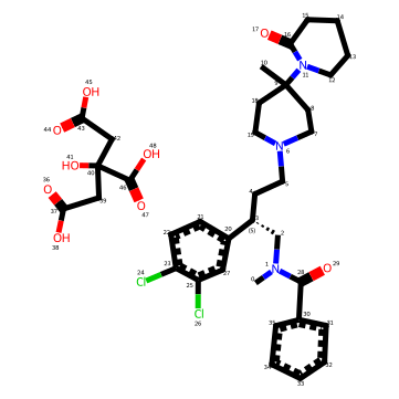 CN(C[C@@H](CCN1CCC(C)(N2CCCCC2=O)CC1)c1ccc(Cl)c(Cl)c1)C(=O)c1ccccc1.O=C(O)CC(O)(CC(=O)O)C(=O)O